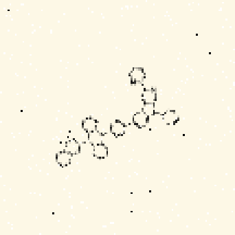 C1=CCC(N2C3=CC=C(c4ccc(-c5c6ccccc6c(-c6ccc7ccccc7c6)c6ccccc56)cc4)CC3c3cc(-c4ccccn4)ncc32)C=C1